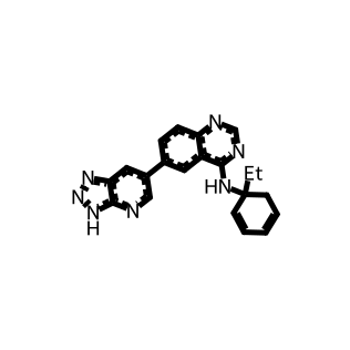 CCC1(Nc2ncnc3ccc(-c4cnc5[nH]nnc5c4)cc23)C=CC=CC1